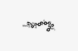 C#CC[C@H](NC(=O)OC)C(=O)N1CCC[C@H]1c1ncc(-c2ccc3nc(-c4ccc(-c5cnc([C@@H]6CCCN6C(=O)[C@H](N)c6ccccc6)[nH]5)cc4F)ccc3c2)[nH]1